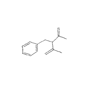 C=C(C)C(Cc1ccccc1)C(=C)C